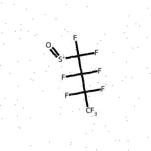 O=[S+]C(F)(F)C(F)(F)C(F)(F)C(F)(F)F